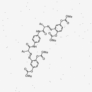 COC(=O)Oc1ccc(OC(=O)OC)c(N=NC(C(C)=O)C(=O)Nc2ccc(NC(=O)C(N=Nc3cc(OC(=O)OC)ccc3OC(=O)OC)C(C)=O)cc2)c1